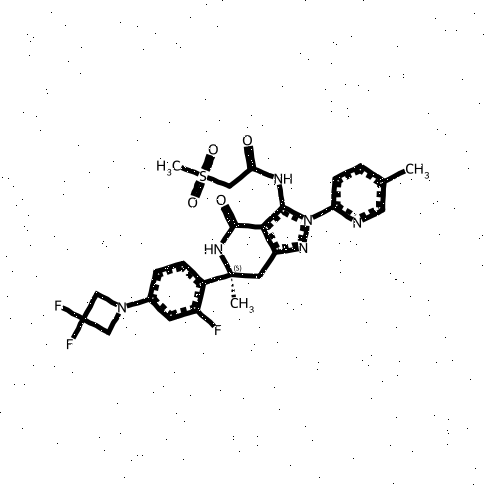 Cc1ccc(-n2nc3c(c2NC(=O)CS(C)(=O)=O)C(=O)N[C@](C)(c2ccc(N4CC(F)(F)C4)cc2F)C3)nc1